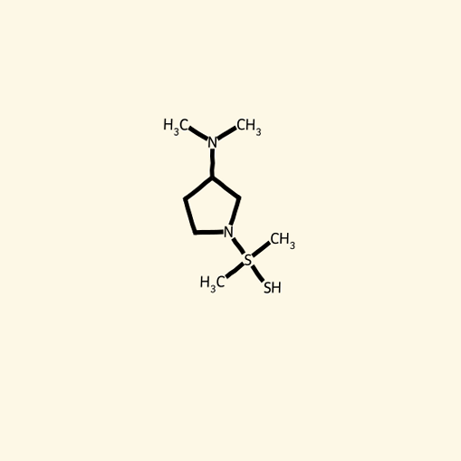 CN(C)C1CCN(S(C)(C)S)C1